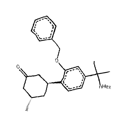 CCCCCCC(C)(C)c1ccc([C@@H]2CC(=O)C[C@@H](C)C2)c(OCc2ccccc2)c1